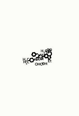 CCn1cc2c3c(cc(C(=O)N[C@@H](Cc4ccccc4)[C@H](O)CNC4CCC(C)(C)CC4)cc31)N(C)S(=O)(=O)CC2.O=CO